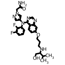 CC(C)C(CO)NCCCOc1ccc2c(N(c3cnn(CC(N)=O)c3)c3cccc(F)c3F)ncnc2c1